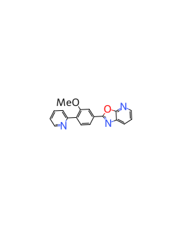 COc1cc(-c2nc3cccnc3o2)ccc1-c1ccccn1